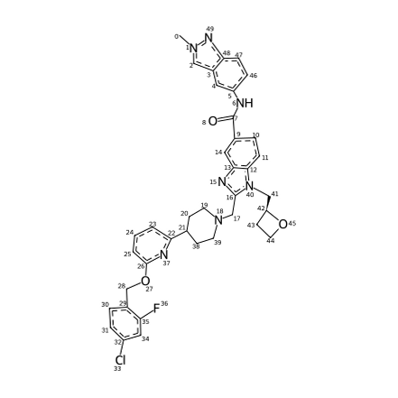 Cn1cc2cc(NC(=O)c3ccc4c(c3)nc(CN3CCC(c5cccc(OCc6ccc(Cl)cc6F)n5)CC3)n4C[C@@H]3CCO3)ccc2n1